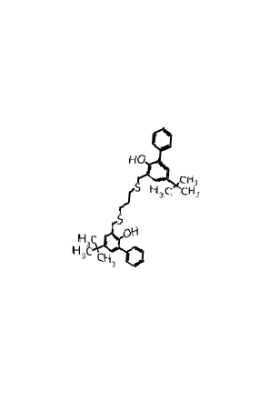 CC(C)(C)c1cc(CSCCCSCc2cc(C(C)(C)C)cc(-c3ccccc3)c2O)c(O)c(-c2ccccc2)c1